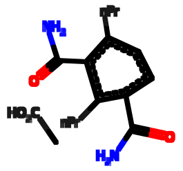 CC(=O)O.CCCc1ccc(C(N)=O)c(CCC)c1C(N)=O